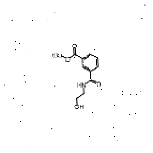 CC(C)(C)OC(=O)c1cccc(C(=O)NCCO)c1